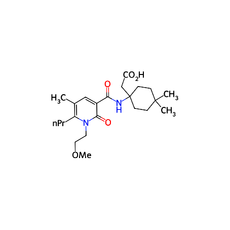 CCCc1c(C)cc(C(=O)NC2(CC(=O)O)CCC(C)(C)CC2)c(=O)n1CCOC